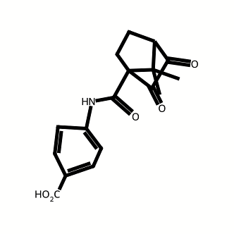 CC1(C)C2CCC1(C(=O)Nc1ccc(C(=O)O)cc1)C(=O)C2=O